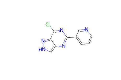 Clc1nc(-c2cccnc2)nc2c[nH]nc12